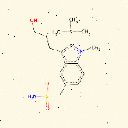 Cn1c([Si](C)(C)C)c(CCCO)c2cc(CS(N)(=O)=O)ccc21